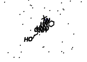 CC(C)(C)/N=N/C1(NC(=O)NNC(=O)CCCO)CCCCC1